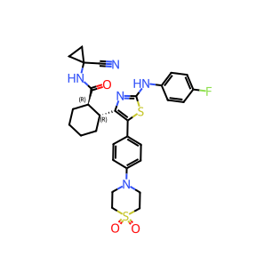 N#CC1(NC(=O)[C@@H]2CCCC[C@H]2c2nc(Nc3ccc(F)cc3)sc2-c2ccc(N3CCS(=O)(=O)CC3)cc2)CC1